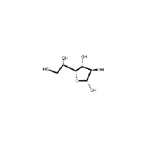 OC[C@H](O)[C@H]1O[C@@H](O)[C@H](O)[C@H]1O